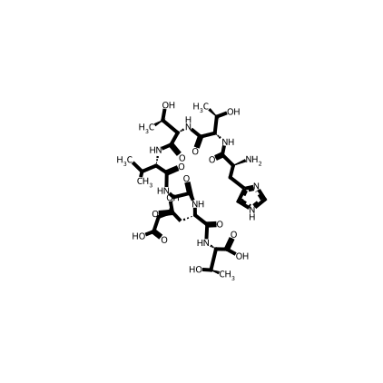 CC(C)[C@H](NC(=O)[C@@H](NC(=O)[C@@H](NC(=O)[C@@H](N)Cc1c[nH]cn1)[C@@H](C)O)[C@@H](C)O)C(=O)N[C@@H](CCC(=O)O)C(=O)N[C@@H](CC(=O)O)C(=O)N[C@H](C(=O)O)[C@@H](C)O